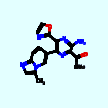 COC(=O)c1nc(-c2ccc3ncc(C)n3c2)c(-c2ncco2)nc1N